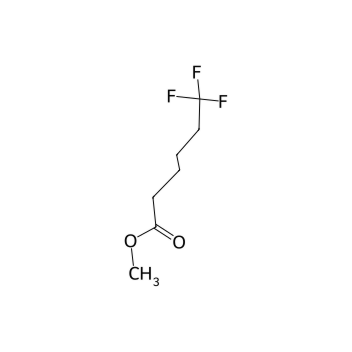 COC(=O)CCCCC(F)(F)F